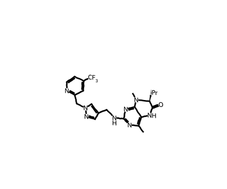 Cc1nc(NCc2cnn(Cc3cc(C(F)(F)F)ccn3)c2)nc2c1NC(=O)[C@H](C(C)C)N2C